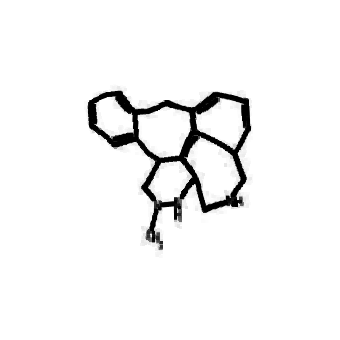 CN1CC2C3=C4C(=CC=CC4CNCC3N1)Cc1ccccc12